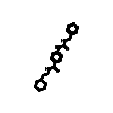 O=C(NCc1ccncc1)Nc1ccc(C(=O)NCCN2CCCCC2)cc1